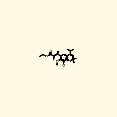 CCOC(=O)C(F)=C(C)c1cc2c(c(Cl)c1OC)OC(C)(C)C=C2C(C)C